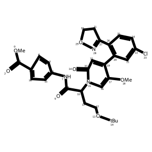 COC(=O)c1ccc(NC(=O)C(CCOC(C)(C)C)n2cc(OC)c(-c3cc(Cl)ccc3C3=NOCC3)cc2=O)cc1